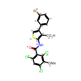 COc1c(Cl)cc(Cl)c(C(=O)Nc2scc(-c3cccc(Br)c3)c2C(=O)O)c1Cl